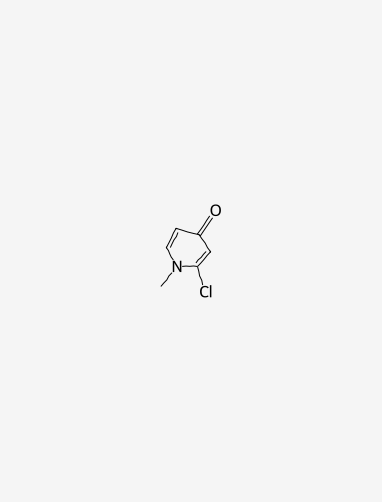 Cn1ccc(=O)cc1Cl